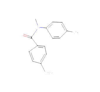 COc1ccc(C(=O)N(C)c2ccc(C#N)cc2)cc1